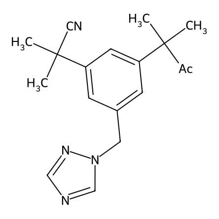 CC(=O)C(C)(C)c1cc(Cn2cncn2)cc(C(C)(C)C#N)c1